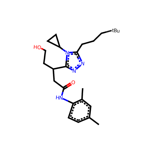 Cc1ccc(NC(=O)CC(CCO)c2nnc(CCCC(C)(C)C)n2C2CC2)c(C)c1